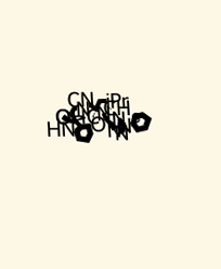 CC(C)C[C@](C=O)(CN1C[C@]2(C[C@H]1C#N)C(=O)Nc1ccccc12)N(C)C(=O)c1nnn(-c2ccccc2)n1